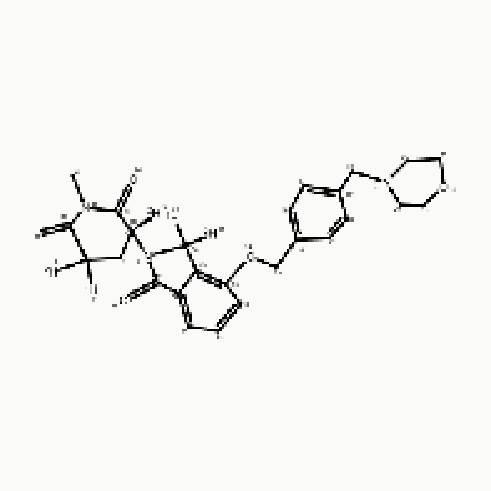 [2H]C1([2H])C[C@@]([2H])(N2C(=O)c3cccc(OCc4ccc(CN5CCOCC5)cc4)c3C2([2H])[2H])C(=O)N(C)C1=C